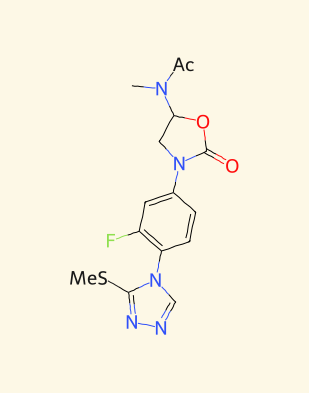 CSc1nncn1-c1ccc(N2CC(N(C)C(C)=O)OC2=O)cc1F